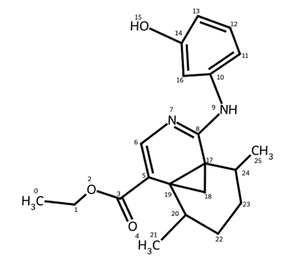 CCOC(=O)C1=CN=C(Nc2cccc(O)c2)C23CC12C(C)CCC3C